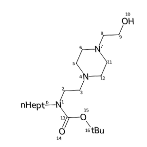 CCCCCCCN(CCN1CCN(CCO)CC1)C(=O)OC(C)(C)C